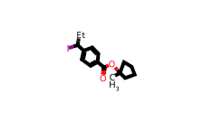 CCC(I)c1ccc(C(=O)OC2(C)CCCC2)cc1